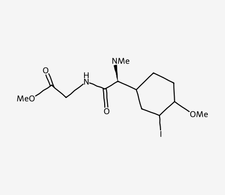 CN[C@H](C(=O)NCC(=O)OC)C1CCC(OC)C(I)C1